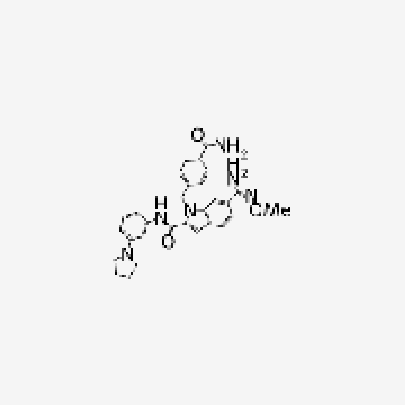 CO/N=C(/N)c1ccc2cc(C(=O)Nc3cccc(N4CCCC4)c3)n(Cc3ccc(C(N)=O)cc3)c2c1